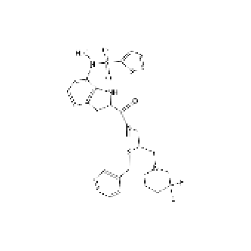 CN(c1cccc2c1NC(C(=O)NCC(CN1CCCC(F)(F)C1)SCc1ccccc1)C2)S(=O)(=O)c1cccs1